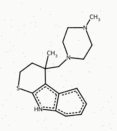 CN1CCN(CC2(C)CCSc3[nH]c4ccccc4c32)CC1